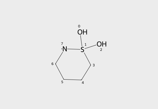 OS1(O)CCCC[N]1